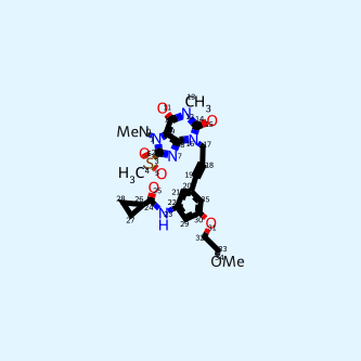 CNn1c(S(C)(=O)=O)nc2c1c(=O)n(C)c(=O)n2CC#Cc1cc(NC(=O)C2CC2)cc(OCCOC)c1